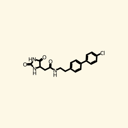 O=C(CC1NC(=O)NC1=O)NCCc1ccc(-c2ccc(Cl)cc2)cc1